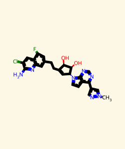 Cn1cc(-c2ncnc3c2ccn3[C@@H]2C=C(CCc3cc(F)c4cc(Cl)c(N)nc4c3)[C@@H](O)[C@H]2O)cn1